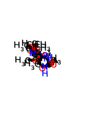 CCCCOc1ccc2cc1[C@H](C)CC(=O)Nc1ccc(S(=O)(=O)C3CC3)c(c1)CN(C)C(=O)[C@@H]2Nc1ccc2c(N(C(=O)OC(C)(C)C)C(=O)OC(C)(C)C)ncc(F)c2c1